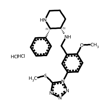 COc1ccc(-n2nnnc2SC)cc1CN[C@H]1CCCN[C@H]1c1ccccc1.Cl.Cl